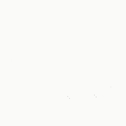 CC(=O)N1CCN(Cc2ccc(-c3cc(C)ccc3Cl)cc2)CC1c1ccccc1